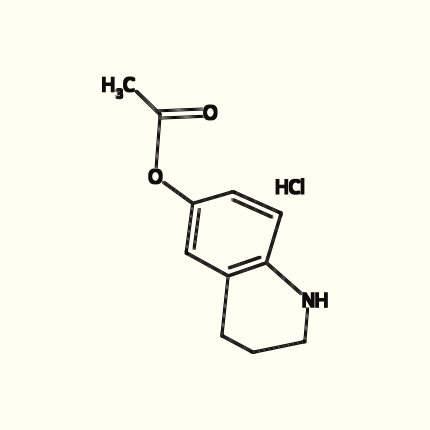 CC(=O)Oc1ccc2c(c1)CCCN2.Cl